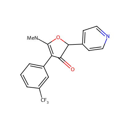 CNC1=C(c2cccc(C(F)(F)F)c2)C(=O)C(c2ccncc2)O1